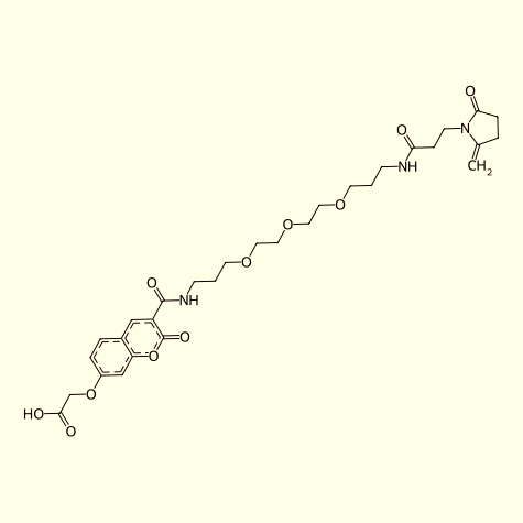 C=C1CCC(=O)N1CCC(=O)NCCCOCCOCCOCCCNC(=O)c1cc2ccc(OCC(=O)O)cc2oc1=O